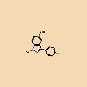 CC(=O)n1nc(-c2ccc(F)cc2)c2cc([C]=O)ccc21